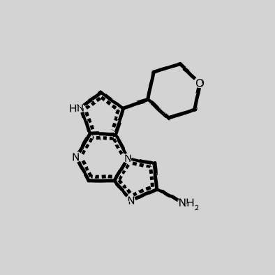 Nc1cn2c(cnc3[nH]cc(C4CCOCC4)c32)n1